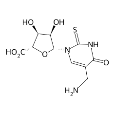 NCc1cn([C@@H]2O[C@H](C(=O)O)[C@@H](O)[C@H]2O)c(=S)[nH]c1=O